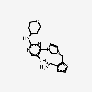 Cc1cnc(NC2CCOCC2)nc1N1C=CN(Cc2sccc2CN)C1